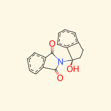 O=C1c2ccccc2C(=O)N1[C@@]1(O)CCc2ccccc21